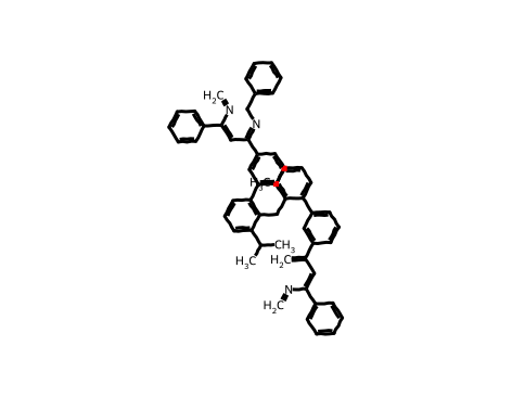 C=N/C(=C\C(=C)c1cccc(-c2cccc(C)c2Cc2c(-c3cccc(C(/C=C(\N=C)c4ccccc4)=N/Cc4ccccc4)c3)cccc2C(C)C)c1)c1ccccc1